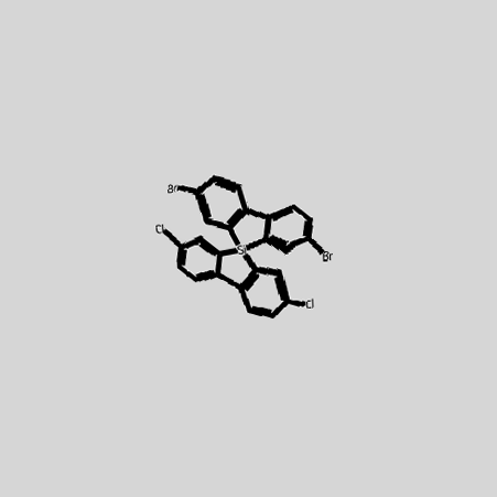 Clc1ccc2c(c1)[Si]1(c3cc(Cl)ccc3-2)c2cc(Br)ccc2-c2ccc(Br)cc21